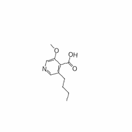 CCCCc1cncc(OC)c1C(=O)O